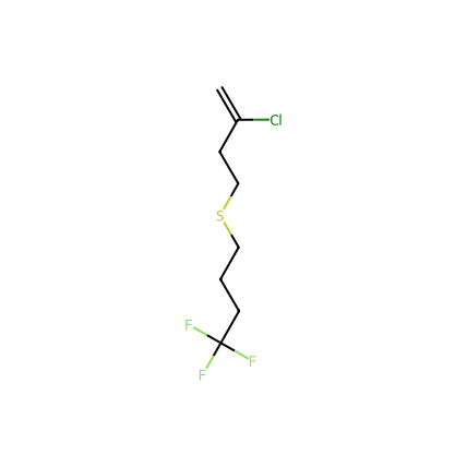 C=C(Cl)CCSCCCC(F)(F)F